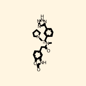 CN(C(=O)Cc1ccc2oc(=O)[nH]c2c1)[C@H](CN1CCCC1)c1cccc(-c2nn[nH]n2)c1